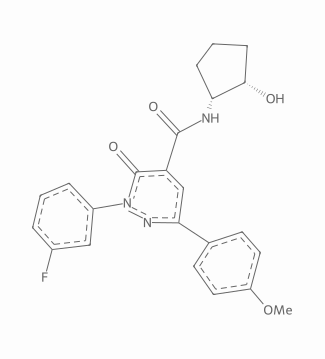 COc1ccc(-c2cc(C(=O)N[C@@H]3CCC[C@@H]3O)c(=O)n(-c3cccc(F)c3)n2)cc1